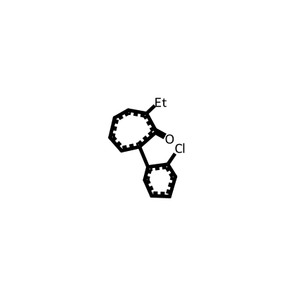 CCc1ccccc(-c2ccccc2Cl)c1=O